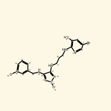 Cc1cc(Br)cnc1NCCCNc1n[s+]([O-])nc1NCc1ccc[n+]([O-])c1